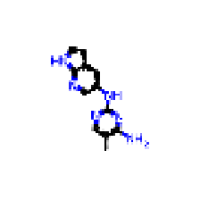 Cc1cnc(Nc2cnc3[nH]ccc3c2)nc1N